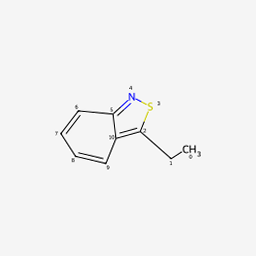 CCc1snc2ccccc12